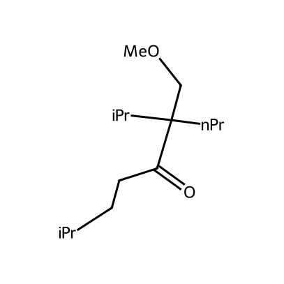 CCCC(COC)(C(=O)CCC(C)C)C(C)C